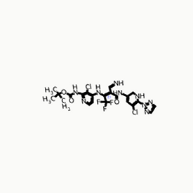 CC(C)(C)OC(=O)Nc1nccc(N/C(=C(\C=N)C(=O)NC2=CC(Cl)=C(n3nccn3)NC2)C(F)(F)F)c1Cl